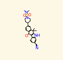 CN(C)S(=O)(=O)N1CCC(c2ccc3c(c2)C(C)(C)c2[nH]c4cc(C#N)ccc4c2C3=O)CC1